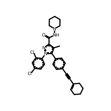 Cc1c(C(=O)NN2CCCCC2)nn(-c2ccc(Cl)cc2Cl)c1-c1ccc(C#CC2=CCCCC2)cc1